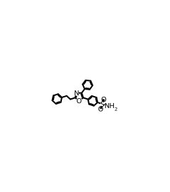 NS(=O)(=O)c1ccc(-c2oc(CCc3ccccc3)nc2-c2ccccc2)cc1